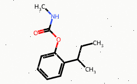 CCC(C)c1ccccc1OC(=O)NC